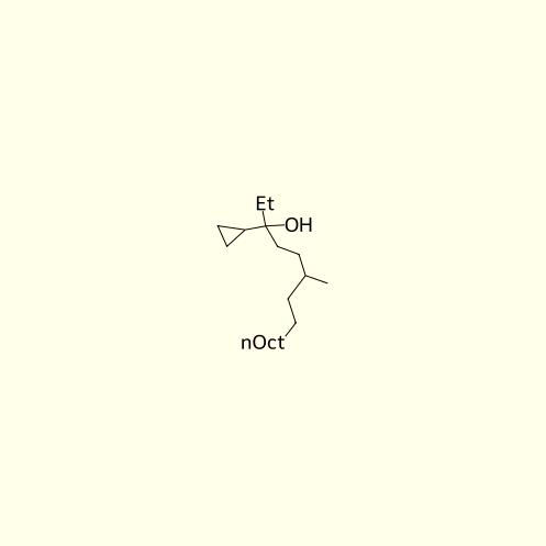 CCCCCCCCCCC(C)CCC(O)(CC)C1CC1